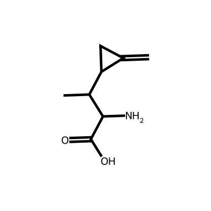 C=C1CC1C(C)C(N)C(=O)O